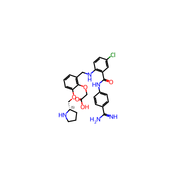 N=C(N)c1ccc(NC(=O)c2cc(Cl)ccc2NCc2cccc(OC[C@@H]3CCCN3)c2OCC(=O)O)cc1